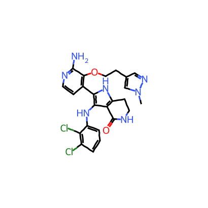 Cn1cc(CCOc2c(-c3[nH]c4c(c3Nc3cccc(Cl)c3Cl)C(=O)NCC4)ccnc2N)cn1